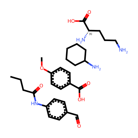 CCCC(=O)Nc1ccc(C=O)cc1.COc1ccc(C(=O)O)cc1.NC1CCCCC1.NCCC[C@H](N)C(=O)O